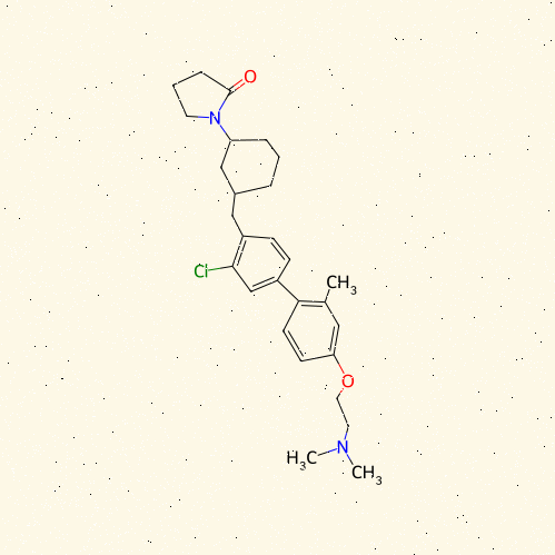 Cc1cc(OCCN(C)C)ccc1-c1ccc(CC2CCCC(N3CCCC3=O)C2)c(Cl)c1